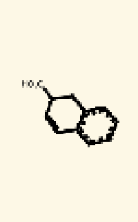 O=C(O)C1C=Cc2ccccc2C1